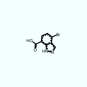 O=C(O)c1ccc(Br)c2cn[nH]c12